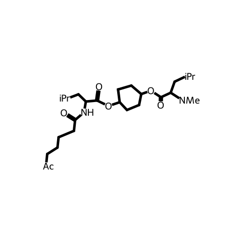 CNC(CC(C)C)C(=O)OC1CCC(OC(=O)C(CC(C)C)NC(=O)CCCCC(C)=O)CC1